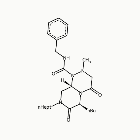 CCCCCCCN1C[C@H]2N(C(=O)CN(C)N2C(=O)NCc2ccccc2)[C@@H](CCCC)C1=O